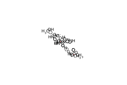 CC1(O)CCC(CNc2ccc(S(=O)(=O)NC(=O)c3ccc(N4CCC5(CC4)CC(N4CCCC[C@H]4c4ccccc4OC(C)(C)C)C5)cc3N3c4cc5cc[nH]c5nc4O[C@H]4COCC[C@@H]43)cc2[N+](=O)[O-])CC1